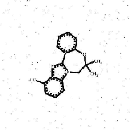 Cc1cccc2c1nc1n2CC(C)(C)Oc2ccccc2-1